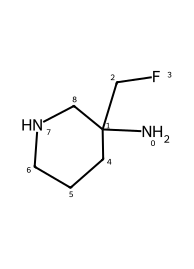 NC1(CF)CCCNC1